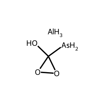 OC1([AsH2])OO1.[AlH3]